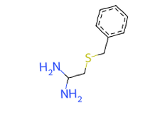 NC(N)CSCc1ccccc1